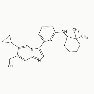 CC1(C)CCCCC1Nc1cccc(-c2cnc3cc(CO)c(C4CC4)cn23)n1